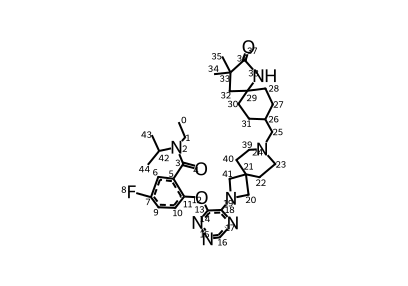 CCN(C(=O)c1cc(F)ccc1Oc1nncnc1N1CC2(CCN(CC3CCC4(CC3)CC(C)(C)C(=O)N4)CC2)C1)C(C)C